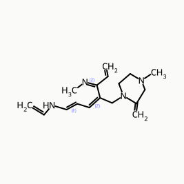 C=CN/C=C/C=C(CN1CCN(C)CC1=C)\C(C=C)=N/C